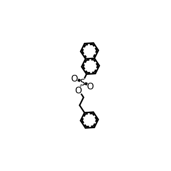 O=S(=O)(OCCc1ccccc1)c1ccc2ccccc2c1